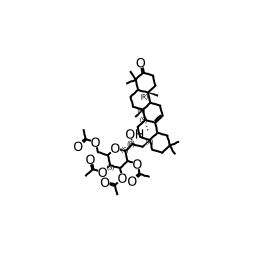 CC(=O)OCC1O[C@@H]([C@H](O)C[C@]23CCC(C)(C)CC2C2=CCC4[C@@]5(C)CCC(=O)C(C)(C)C5CC[C@@]4(C)[C@]2(C)CC3)C(OC(C)=O)C(OC(C)=O)[C@H]1OC(C)=O